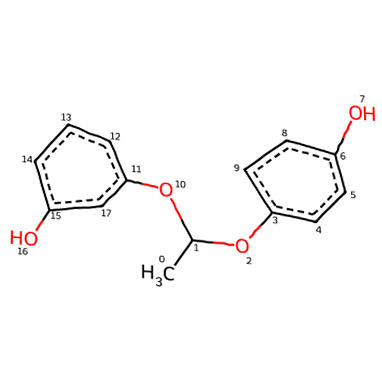 CC(Oc1ccc(O)cc1)Oc1cccc(O)c1